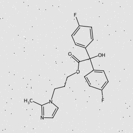 Cc1nccn1CCCOC(=O)C(O)(c1ccc(F)cc1)c1ccc(F)cc1